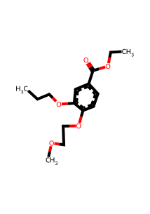 CCCOc1cc(C(=O)OCC)ccc1OCCOC